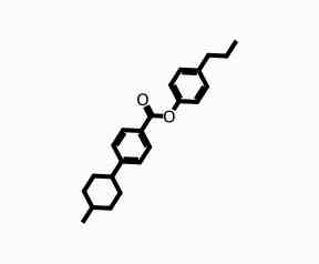 CCCc1ccc(OC(=O)c2ccc(C3CCC(C)CC3)cc2)cc1